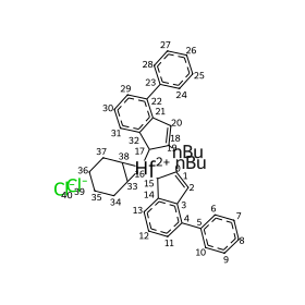 CCCCC1=Cc2c(-c3ccccc3)cccc2[CH]1[Hf+2]1([CH]2C(CCCC)=Cc3c(-c4ccccc4)cccc32)[CH]2CCCC[CH]21.[Cl-].[Cl-]